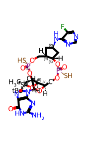 CC(C)(C)[Si](C)(C)O[C@H]1[C@H]2O[P@@](=O)(S)OC[C@H]3C[C@@H](Nc4ncncc4F)C[C@@H]3O[P@](=O)(S)OC[C@H]1O[C@H]2n1cnc2c(=O)[nH]c(N)nc21